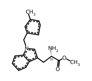 COC(=O)[C@@H](N)Cc1cn(Cc2cccc(C)c2)c2ccccc12